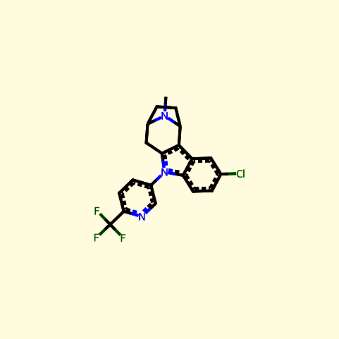 CN1C2CCC1c1c(n(-c3ccc(C(F)(F)F)nc3)c3ccc(Cl)cc13)C2